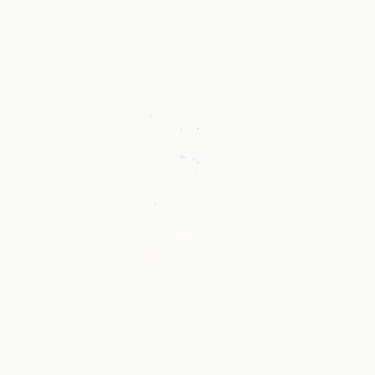 CC(=O)O.Clc1ccccc1.c1cscn1